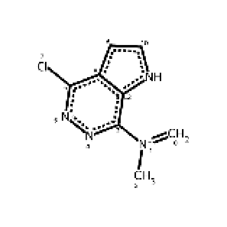 C=[N+](C)c1nnc(Cl)c2cc[nH]c12